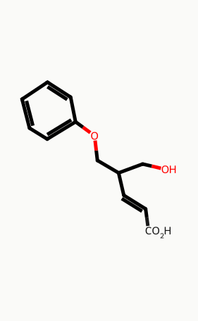 O=C(O)C=CC(CO)COc1ccccc1